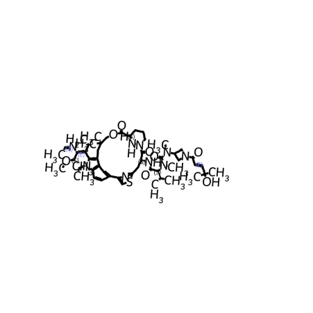 C=C/C(=C(\N=C/C)[C@H](C)OC)c1c2c3cc(ccc3n1CC)-c1csc(n1)C[C@H](NC(=O)[C@H](C(C)C)N(C)C(=O)N(C)C1CN(C(=O)/C=C/C(C)(C)O)C1)C(=O)N1CCC[C@H](N1)C(=O)OCC(C)(C)C2